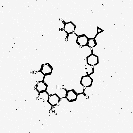 Cc1cc(C(=O)N2CCC(F)(CN3CCC(n4cc(C5CC5)c5cc(N6CCC(=O)NC6=O)cnc54)CC3)CC2)ccc1[C@@H]1CN(c2cc(-c3ccccc3O)nnc2N)C[C@H](C)O1